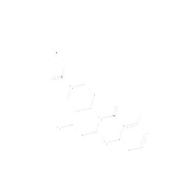 CC(C)(C)OC(=O)N1CCC(n2c(CCN)nc3cccc(Cl)c3c2=O)CC1